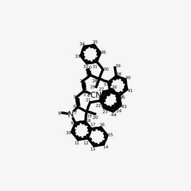 C=C(/C=C(C#N)/C=C1/N(C)c2ccc3ccccc3c2C1(C)Cc1ccccc1)C(C)(Cc1ccccc1)c1c(C)ccc2ccccc12